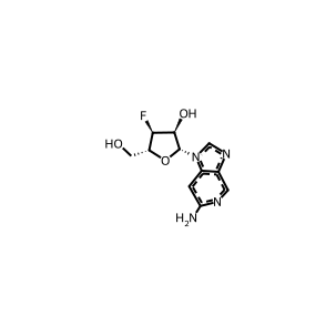 Nc1cc2c(cn1)ncn2[C@@H]1O[C@H](CO)[C@@H](F)[C@H]1O